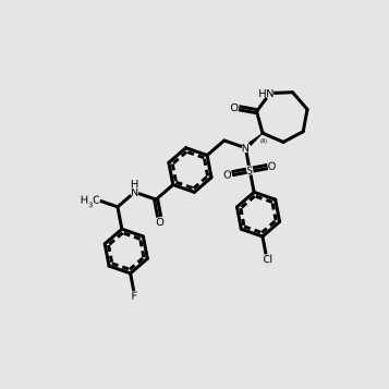 CC(NC(=O)c1ccc(CN([C@@H]2CCCCNC2=O)S(=O)(=O)c2ccc(Cl)cc2)cc1)c1ccc(F)cc1